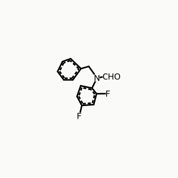 O=CN(Cc1ccccc1)c1ccc(F)cc1F